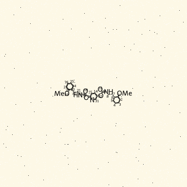 COc1ccccc1CCNC(=O)Oc1ccc(OC(=O)NCCc2ccccc2OC)nc1